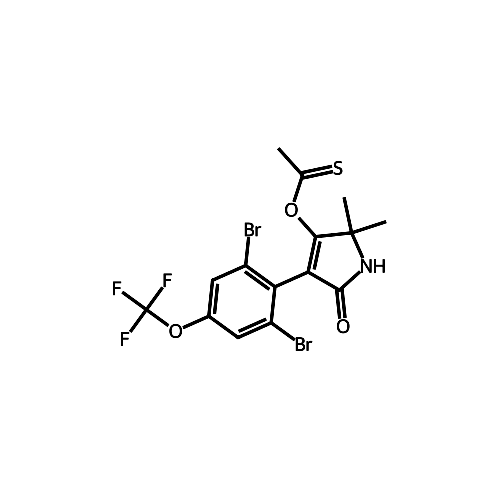 CC(=S)OC1=C(c2c(Br)cc(OC(F)(F)F)cc2Br)C(=O)NC1(C)C